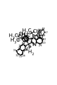 CC(C)(C)P(C[C]12[CH]3[C]4([Si](C)(C)C)[CH]5[C]1(C(P)(c1ccc6ccccc6n1)c1ccc6ccccc6n1)[Fe]35241678[CH]2[CH]1[CH]6[CH]7[CH]28)C1C2CC3CC(C2)CC1C3